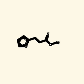 CCOC(=S)CCc1ccco1